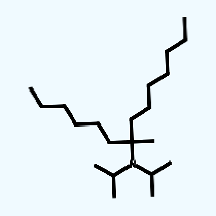 CCCCCCCC(C)(CCCCCC)N(C(C)C)C(C)C